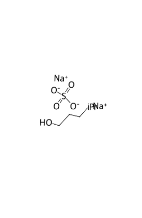 CC(C)CCCO.O=S(=O)([O-])[O-].[Na+].[Na+]